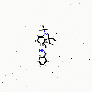 CCC1(CC)CN(C(C)(C)C)c2cccc(CNCc3ccccc3)c21